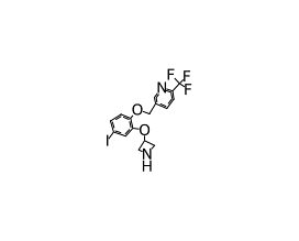 FC(F)(F)c1ccc(COc2ccc(I)cc2OC2CNC2)cn1